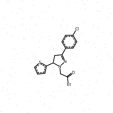 CCC(=O)CN1N=C(c2ccc(Cl)cc2)CC1c1cccs1